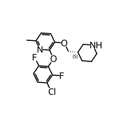 Cc1ccc(OC[C@H]2CCCNC2)c(Oc2c(F)ccc(Cl)c2F)n1